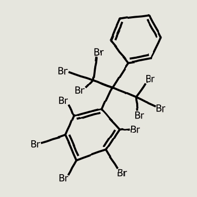 Brc1c(Br)c(Br)c(C(c2ccccc2)(C(Br)(Br)Br)C(Br)(Br)Br)c(Br)c1Br